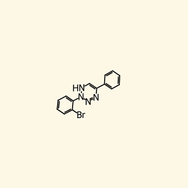 Brc1ccccc1N1N=NC(c2ccccc2)=CN1